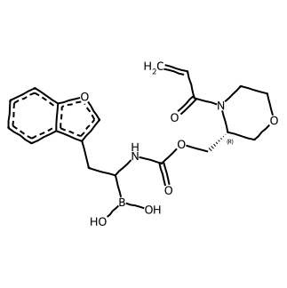 C=CC(=O)N1CCOC[C@@H]1COC(=O)NC(Cc1coc2ccccc12)B(O)O